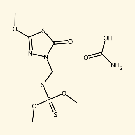 COc1nn(CSP(=S)(OC)OC)c(=O)s1.NC(=O)O